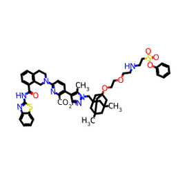 Cc1c(-c2ccc(N3CCc4cccc(C(=O)Nc5nc6ccccc6s5)c4C3)nc2C(=O)O)cnn1CC12CC3(C)CC(C)(C1)CC(OCCOCCNCCS(=O)(=O)Oc1ccccc1)(C3)C2